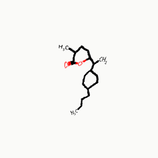 CCCCC1CCC(C(C)C2CCC(C)C(=O)O2)CC1